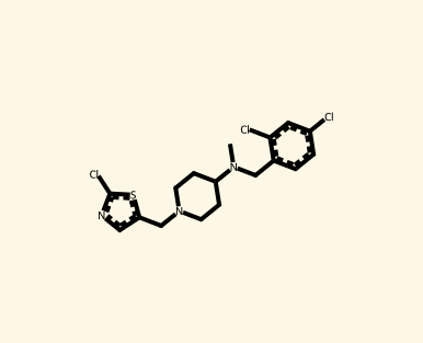 CN(Cc1ccc(Cl)cc1Cl)C1CCN(Cc2cnc(Cl)s2)CC1